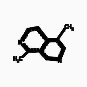 Cc1cncc2c(C)nccc12